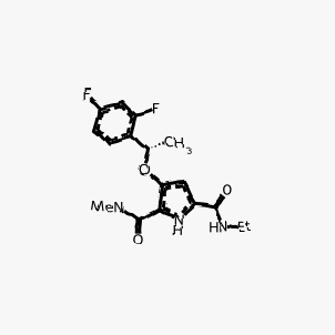 CCNC(=O)c1cc(O[C@@H](C)c2ccc(F)cc2F)c(C(=O)NC)[nH]1